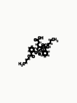 CCCCOC(=O)c1ccccc1OP(=O)(CC(CCC(=O)O)C(=O)OC)Oc1ccccc1C(=O)OCCCC